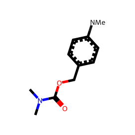 CNc1ccc(COC(=O)N(C)C)cc1